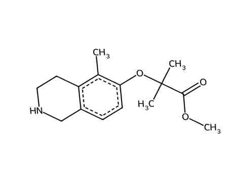 COC(=O)C(C)(C)Oc1ccc2c(c1C)CCNC2